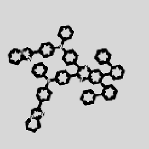 c1ccc(-c2ccccc2-c2cc3nc(-c4ccc(N(c5ccccc5)c5ccc(-c6cn7ccccc7n6)cc5)cc4)c(-c4ccc(N(c5ccccc5)c5ccc(-c6cn7ccccc7n6)cc5)cc4)nc3cc2-c2ccccc2-c2ccccc2)cc1